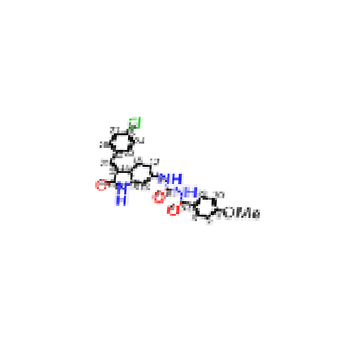 COc1ccc(C(=O)NC(=O)Nc2ccc3c(c2)NC(=O)C3=Cc2ccc(Cl)cc2)cc1